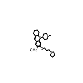 COc1cc2c(cc1OCCCN1CCCC1)N(C1CCN(C)CC1)C1CCCCC1=C2